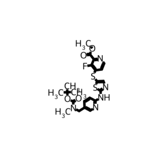 COC(=O)c1nccc(Sc2cnc(Nc3ccc(CN(C)C(=O)OC(C)(C)C)cn3)s2)c1F